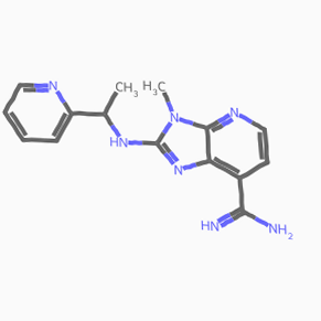 CC(Nc1nc2c(C(=N)N)ccnc2n1C)c1ccccn1